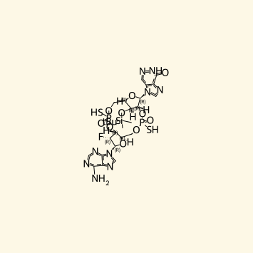 CC(C)(C)[Si](C)(C)O[C@H]1[C@H]2OP(=O)(S)OC[C@H]3O[C@@H](n4cnc5c(N)ncnc54)[C@H](F)[C@@H]3OP(=O)(S)OC[C@H]1O[C@H]2n1cnc2c(=O)[nH]ncc21